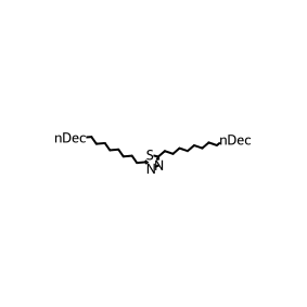 CCCCCCCCCCCCCCCCCCc1nnc(CCCCCCCCCCCCCCCCCC)s1